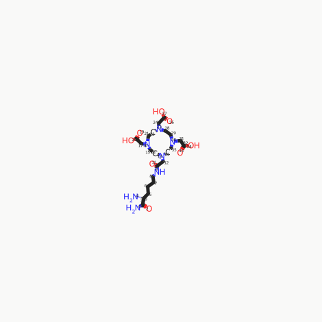 NC(=O)[C@H](N)CCCCNC(=O)CN1CCN(CC(=O)O)CCN(CC(=O)O)CCN(CC(=O)O)CC1